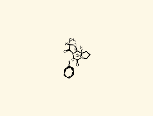 C[C@@]1(I)O[C@@]2(O)[C@@H]3CCCN3C(=O)[C@H](Cc3ccccc3)N2C1=O